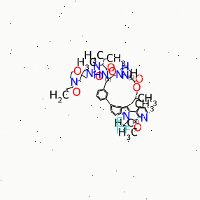 C=CC(=O)N1CCOC2(C1)CN(C(=O)N(C)C(C(=O)N[C@H]1Cc3cccc(c3)-c3ccc4c(c3)c(c(-c3cccnc3[C@H](C)OC)n4CC(F)(F)F)CC(C)(C)COC(=O)[C@@H]3CCCN(N3)C1=O)C(C)C)C2